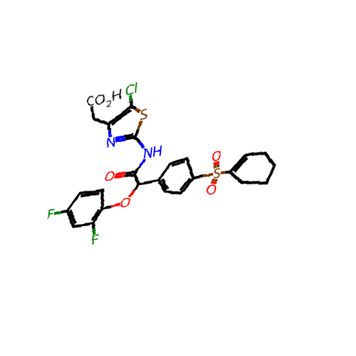 O=C(O)Cc1nc(NC(=O)C(Oc2ccc(F)cc2F)c2ccc(S(=O)(=O)C3=CCCCC3)cc2)sc1Cl